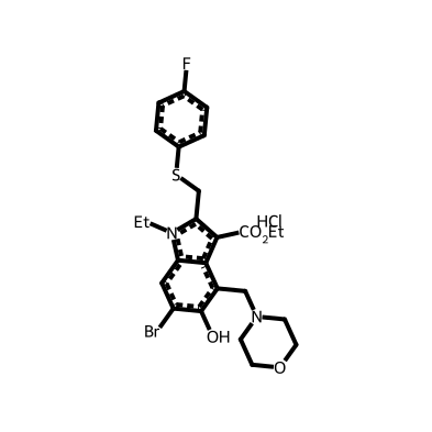 CCOC(=O)c1c(CSc2ccc(F)cc2)n(CC)c2cc(Br)c(O)c(CN3CCOCC3)c12.Cl